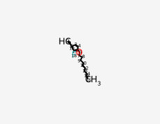 C#Cc1ccc(OCCCCCCCCCC)c(F)c1